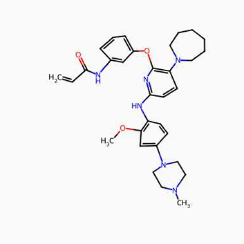 C=CC(=O)Nc1cccc(Oc2nc(Nc3ccc(N4CCN(C)CC4)cc3OC)ccc2N2CCCCCC2)c1